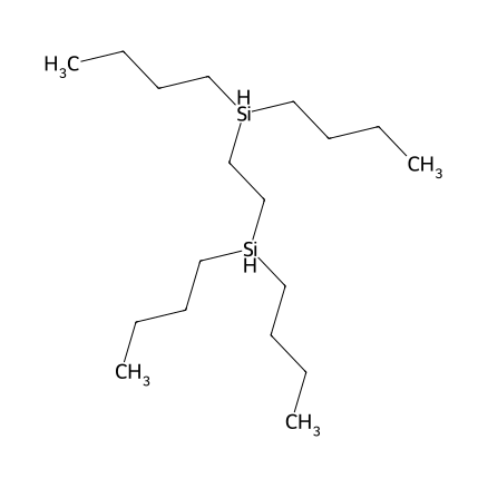 CCCC[SiH](CCCC)CC[SiH](CCCC)CCCC